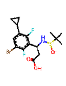 CC(C)(C)[S+]([O-])N[C@@H](CC(=O)O)c1c(F)c(Br)cc(C2CC2)c1F